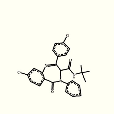 CC(C)(C)NC(=O)C1C(c2ccc(Cl)cc2)=Nc2cc(Cl)ccc2C(=O)N1c1ccccc1